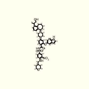 CC(CO)c1cccc2c1CCCCC2N1CCN(c2ccc(C(=O)NS(=O)(=O)c3ccc(NCC4CCOCC4)c([N+](=O)[O-])c3)c(Oc3cnc4[nH]ccc4c3)c2)CC1